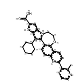 Cc1nccnc1-c1ccc2c3c(ccc2n1)-c1c(C2CCCCC2)c2sc(C(=O)O)cc2n1CCO3